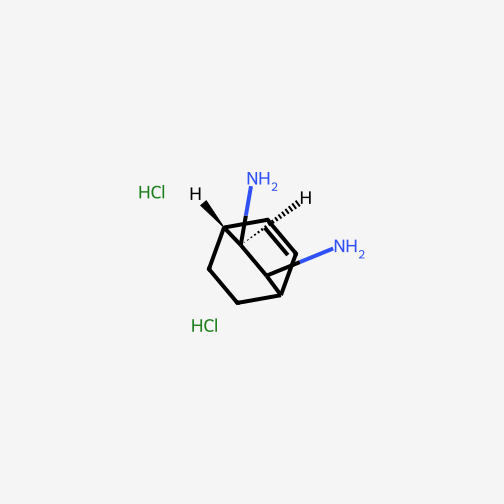 Cl.Cl.NC1C2C=C[C@@H](CC2)[C@H]1N